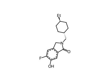 CC[C@H]1CC[C@H](CN2Cc3cc(F)c(O)cc3C2=O)CC1